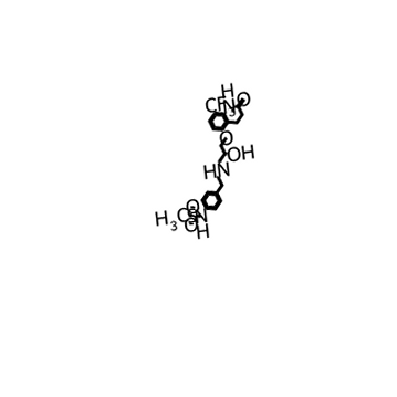 CS(=O)(=O)Nc1ccc(CCNCC(O)COc2ccc(C(F)(F)F)c3c2CCC(=O)N3)cc1